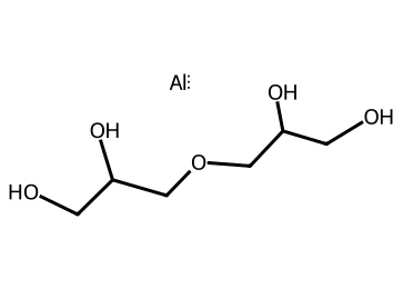 OCC(O)COCC(O)CO.[Al]